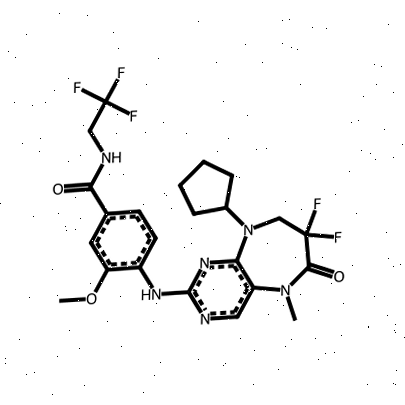 COc1cc(C(=O)NCC(F)(F)F)ccc1Nc1ncc2c(n1)N(C1CCCC1)CC(F)(F)C(=O)N2C